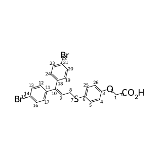 O=C(O)COc1ccc(SCC=C(c2ccc(Br)cc2)c2ccc(Br)cc2)cc1